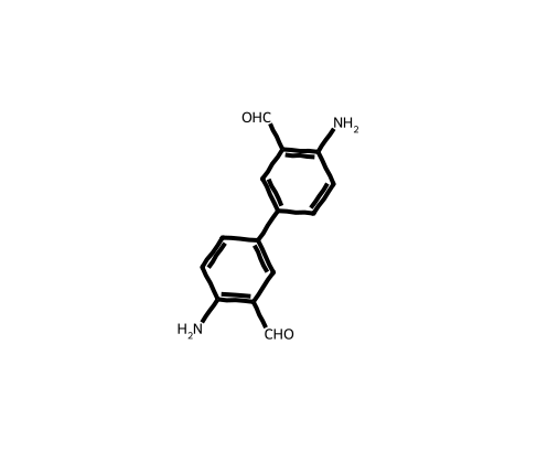 Nc1ccc(-c2ccc(N)c(C=O)c2)cc1C=O